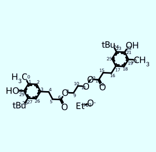 Cc1cc(CCC(=O)OCCOOC(=O)CCc2cc(C)c(O)c(C(C)(C)C)c2)cc(C(C)(C)C)c1O.[CH2]C[O]